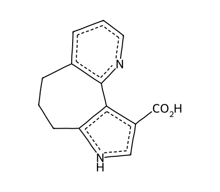 O=C(O)c1c[nH]c2c1-c1ncccc1CCC2